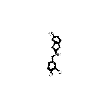 Nc1ccc2c(c1)CC(NCc1ccc(Cl)c(Cl)c1)C2